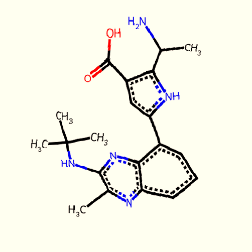 Cc1nc2cccc(-c3cc(C(=O)O)c(C(C)N)[nH]3)c2nc1NC(C)(C)C